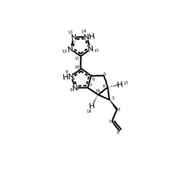 C=CC[C@@H]1[C@@H]2Cc3c(n[nH]c3-c3nn[nH]n3)[C@H]12